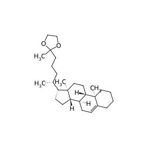 C[C@H](CCCC1(C)OCCO1)[C@H]1CC[C@H]2[C@@H]3CC=C4CCCC[C@]4(C)[C@H]3CC[C@]12C